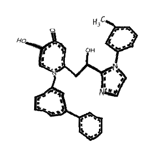 Cc1cccc(-n2ccnc2C(O)Cc2cc(=O)c(O)cn2-c2cccc(-c3ccccc3)c2)c1